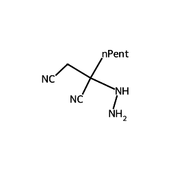 CCCCCC(C#N)(CC#N)NN